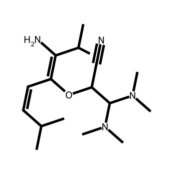 CC(C)/C=C\C(OC(C#N)C(N(C)C)N(C)C)=C(/N)C(C)C